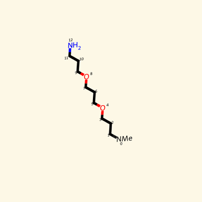 CNCCCOCCCOCCCN